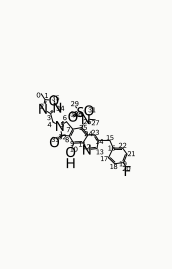 Cc1nc(CN2Cc3c(c(O)c4ncc(Cc5ccc(F)cc5)cc4c3N(C)S(C)(=O)=O)C2=O)no1